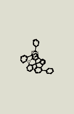 c1ccc(-c2nc(-c3ccccc3)nc(-c3cccc4c3C3(c5ccccc5Oc5ccccc53)c3cccc(-c5ccccc5)c3-4)n2)cc1